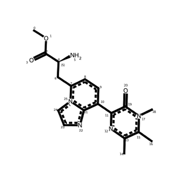 COC(=O)[C@@H](N)Cc1ccc(-c2nc(C)c(C)n(C)c2=O)c2nccn12